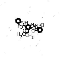 CC1(C)Cc2c(c(C(=O)Nc3ccccc3F)cc3nc(Nc4c(Cl)cccc4Cl)[nH]c23)O1